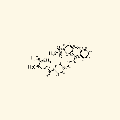 C=C(COC(=O)C1CCN(CCCN2c3ccccc3Sc3ccc(S(C)(=O)=O)cc32)CC1)N(C)C